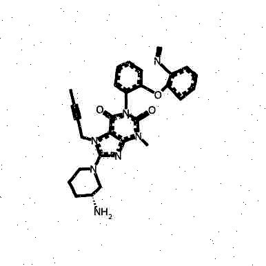 C=Nc1ccccc1Oc1ccccc1-n1c(=O)c2c(nc(N3CCC[C@@H](N)C3)n2CC#CC)n(C)c1=O